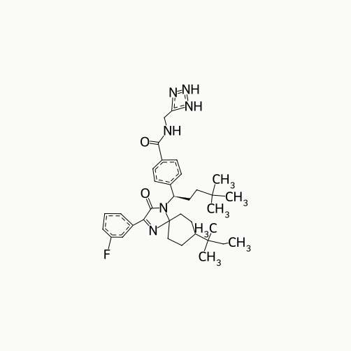 CCC(C)(C)C1CCC2(CC1)N=C(c1cccc(F)c1)C(=O)N2[C@H](CCC(C)(C)C)c1ccc(C(=O)NCc2n[nH][nH]2)cc1